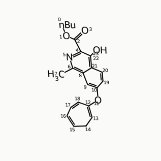 CCCCOC(=O)c1nc(C)c2cc(OC3=CCC=CC=C3)ccc2c1O